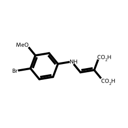 COc1cc(NC=C(C(=O)O)C(=O)O)ccc1Br